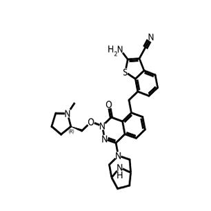 CN1CCC[C@@H]1COn1nc(N2CC3CCC(C2)N3)c2cccc(Cc3cccc4c(C#N)c(N)sc34)c2c1=O